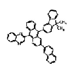 CC1(C)c2ccccc2-c2cc(-c3c4ccccc4c(-c4cnc5ccccc5n4)c4ccc(-c5ccc6ccccc6c5)cc34)ccc21